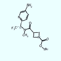 CN(C(=O)C1CN(C(=O)OC(C)(C)C)C1)[C@@H](c1ccc(N)cn1)C(F)(F)F